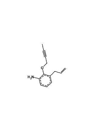 C=CCc1cccc(N)c1OCC#CC